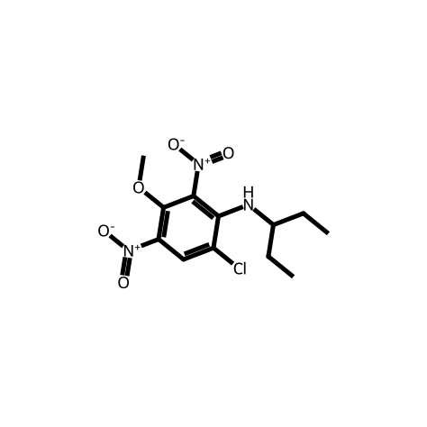 CCC(CC)Nc1c(Cl)cc([N+](=O)[O-])c(OC)c1[N+](=O)[O-]